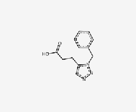 O=C(O)CCc1cnnn1Cc1ccccc1